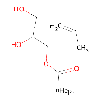 C=CC.CCCCCCCC(=O)OCC(O)CO